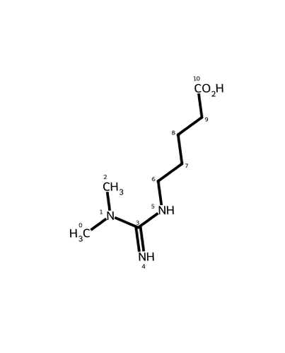 CN(C)C(=N)NCCCCC(=O)O